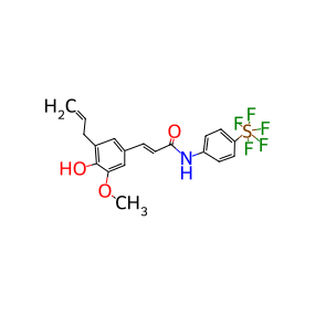 C=CCc1cc(C=CC(=O)Nc2ccc(S(F)(F)(F)(F)F)cc2)cc(OC)c1O